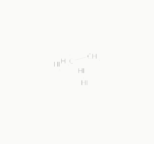 CC.I.I.I